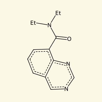 CCN(CC)C(=O)c1cccc2cncnc12